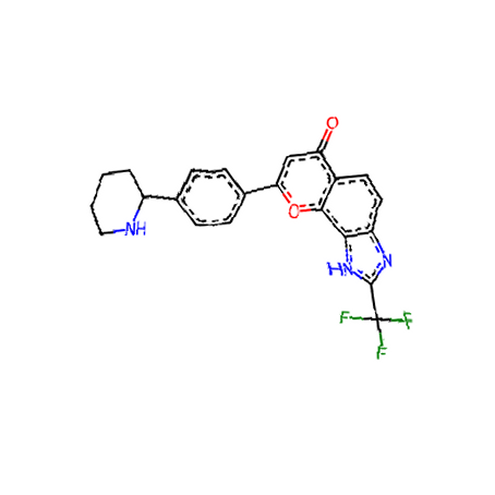 O=c1cc(-c2ccc(C3CCCCN3)cc2)oc2c1ccc1nc(C(F)(F)F)[nH]c12